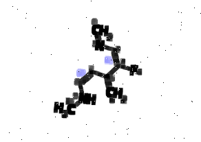 C=N/C=C(/F)C(=C)/C=C\NC